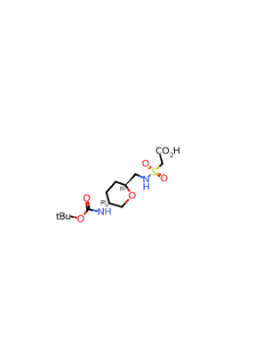 CC(C)(C)OC(=O)N[C@@H]1CC[C@@H](CNS(=O)(=O)CC(=O)O)OC1